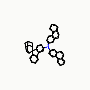 c1ccc2c(c1)-c1cc(N(c3ccc4c(ccc5ccccc54)c3)c3ccc4c(ccc5ccccc54)c3)ccc1C21C2CC3CC(C2)CC1C3